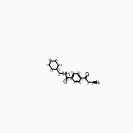 N#CCC(=O)c1ccc(C(=O)NCC2CCCCC2)cc1